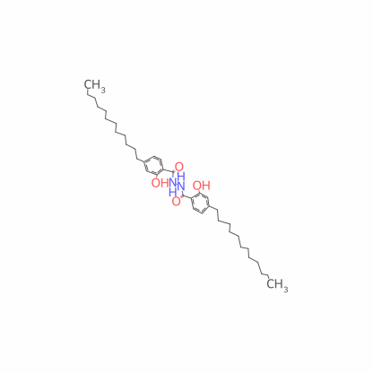 CCCCCCCCCCCCc1ccc(C(=O)NNC(=O)c2ccc(CCCCCCCCCCCC)cc2O)c(O)c1